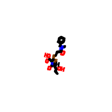 CC[C@H](O)[C@@H]1C(=O)N2C(C(=O)O)=C(SCCC(=O)N(C)Cc3ccccc3)S[C@H]12